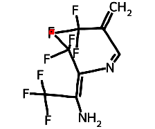 C=C(/C=N\C(=C(/N)C(F)(F)F)C(F)(F)F)C(F)(F)F